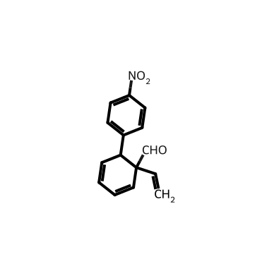 C=CC1(C=O)C=CC=CC1c1ccc([N+](=O)[O-])cc1